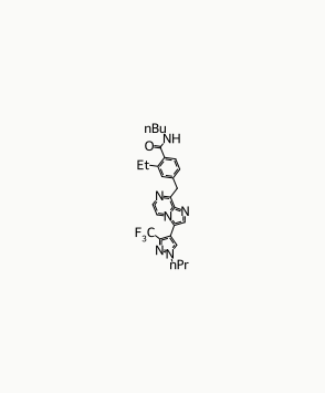 CCCCNC(=O)c1ccc(Cc2nccn3c(-c4cn(CCC)nc4C(F)(F)F)cnc23)cc1CC